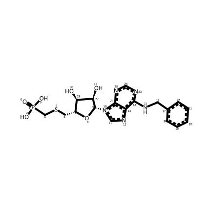 O=P(O)(O)CSC[C@H]1O[C@@H](n2cnc3c(NCc4ccccc4)ncnc32)[C@H](O)[C@@H]1O